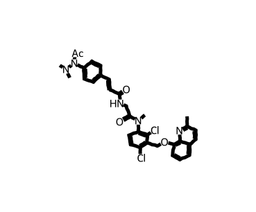 CC(=O)N(c1ccc(C=CC(=O)NCC(=O)N(C)c2ccc(Cl)c(COc3cccc4ccc(C)nc34)c2Cl)cc1)N(C)C